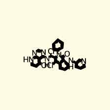 C[C@H](Nc1ncnc2[nH]ccc(=O)c12)c1c(Cl)c2cccc(Nc3cccnc3)c2c(=O)n1-c1ccccc1